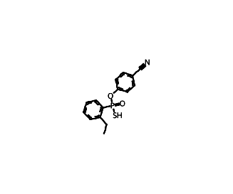 CCc1ccccc1P(=O)(S)Oc1ccc(C#N)cc1